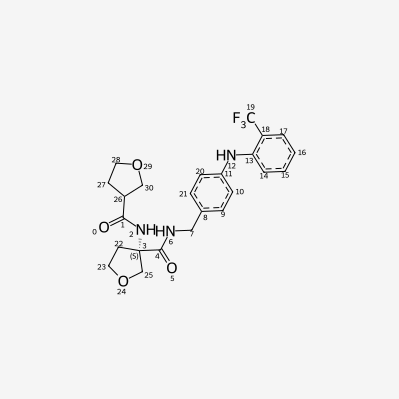 O=C(N[C@@]1(C(=O)NCc2ccc(Nc3ccccc3C(F)(F)F)cc2)CCOC1)C1CCOC1